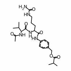 CC(=O)NC(C(=O)NC(CCCNC(N)=O)C(=O)Nc1ccc(COC(=O)C(C)C)cc1)C(C)C